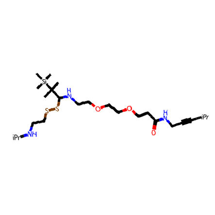 CC(C)C#CCNC(=O)CCOCCOCCNC(SSCCNC(C)C)C(C)(C)[Si](C)(C)C